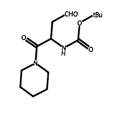 CC(C)(C)OC(=O)NC(CC=O)C(=O)N1CCCCC1